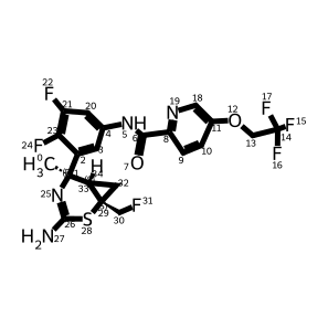 C[C@@]1(c2cc(NC(=O)c3ccc(OCC(F)(F)F)cn3)cc(F)c2F)N=C(N)S[C@@]2(CF)C[C@H]21